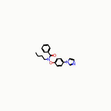 CCCCN(Oc1ccc(-n2ccnc2)cc1)C(=O)c1ccccc1